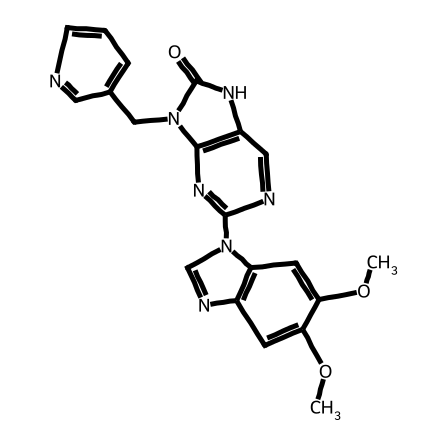 COc1cc2ncn(-c3ncc4[nH]c(=O)n(Cc5cccnc5)c4n3)c2cc1OC